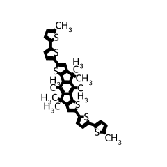 Cc1ccc(-c2ccc(-c3cc4c(s3)-c3c(C)c5c(c(C)c3C4(C)C)-c3sc(-c4ccc(-c6ccc(C)s6)s4)cc3C5(C)C)s2)s1